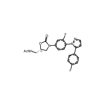 CC(=O)NC[C@H]1CN(c2ccc(-n3nccc3-c3ccc(F)cc3)c(F)c2)C(=O)O1